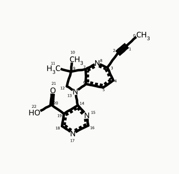 CC#Cc1ccc2c(n1)C(C)(C)CN2c1ncncc1C(=O)O